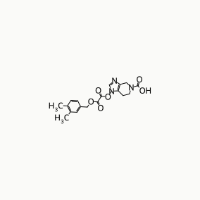 Cc1ccc(COC(=O)C(=O)On2cnc3c2CCN(C(=O)O)C3)cc1C